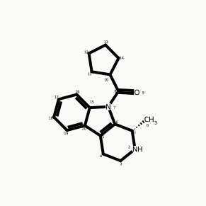 C[C@@H]1NCCc2c1n(C(=O)C1CCCC1)c1ccccc21